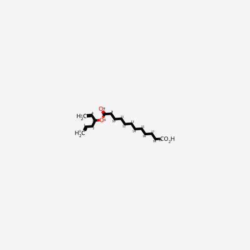 C=CCC(C=C)OC(=O)CCCCCCCCCCC(=O)O